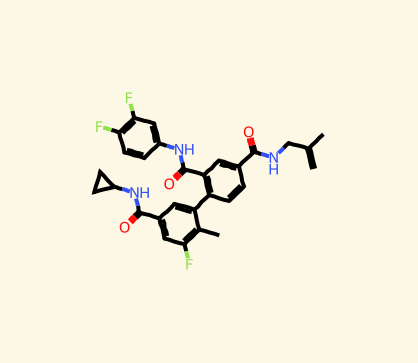 C=C(C)CNC(=O)c1ccc(-c2cc(C(=O)NC3CC3)cc(F)c2C)c(C(=O)Nc2ccc(F)c(F)c2)c1